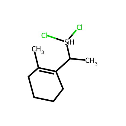 CC1=C(C(C)[SiH](Cl)Cl)CCCC1